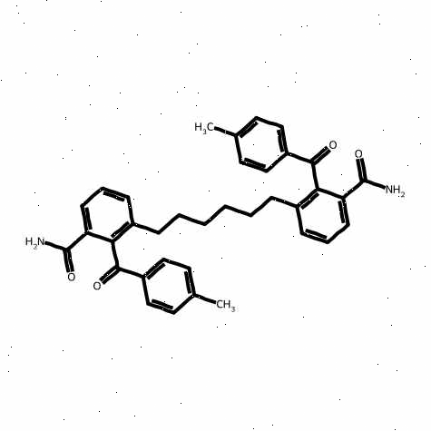 Cc1ccc(C(=O)c2c(CCCCCCc3cccc(C(N)=O)c3C(=O)c3ccc(C)cc3)cccc2C(N)=O)cc1